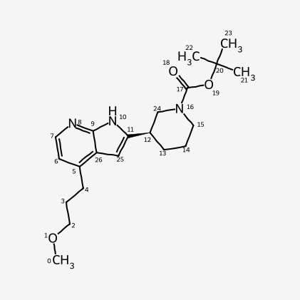 COCCCc1ccnc2[nH]c([C@@H]3CCCN(C(=O)OC(C)(C)C)C3)cc12